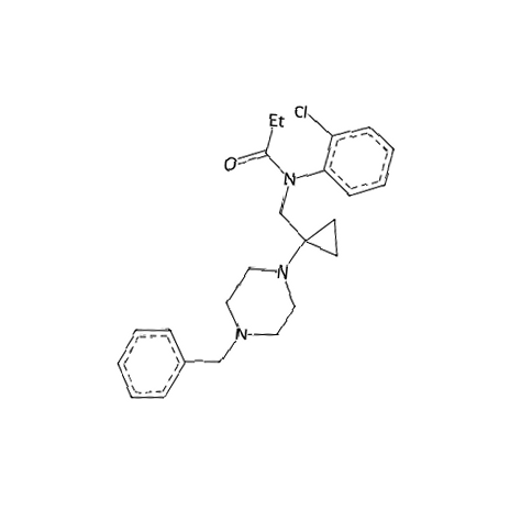 CCC(=O)N(CC1(N2CCN(Cc3ccccc3)CC2)CC1)c1ccccc1Cl